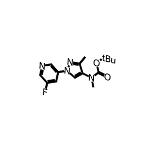 Cc1nn(-c2cncc(F)c2)cc1N(C)C(=O)OC(C)(C)C